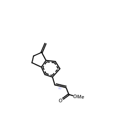 C=C1CCc2cc(/C=C/C(=O)OC)ccc21